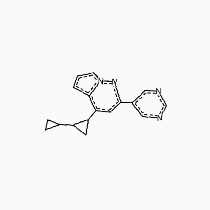 c1cc2c(C3CC3C3CC3)cc(-c3cncnc3)nn2c1